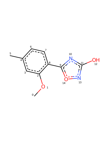 COc1cc(C)ccc1-c1nc(O)no1